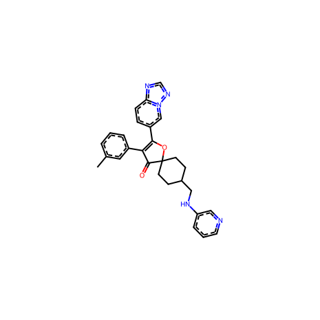 Cc1cccc(C2=C(c3ccc4ncnn4c3)OC3(CCC(CNc4cccnc4)CC3)C2=O)c1